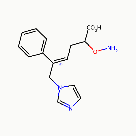 NOC(C/C=C(/Cn1ccnc1)c1ccccc1)C(=O)O